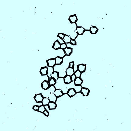 C1=C(c2cccc3c2Oc2ccccc2C32c3ccccc3-c3ccccc32)NC(c2ccc(-c3ccccc3)cc2)N=C1c1ccc(-c2ccccc2-c2ccc3c(c2)-c2ccccc2C32c3ccccc3Oc3c(-c4cc(-c5cccc6cc(-c7cccc8c7-c7ccccc7C87c8ccccc8Oc8c(-c9cc(-c%10ccccn%10)nc(-c%10ccccc%10)n9)cccc87)ccc56)nc(-c5ccccc5)n4)cccc32)cc1